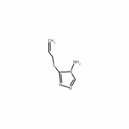 C=CCSc1nncn1N